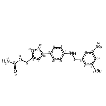 CC(C)(C)c1cc(CNc2ccc(-c3cc(COC(N)=O)on3)cc2)cc(C(C)(C)C)c1